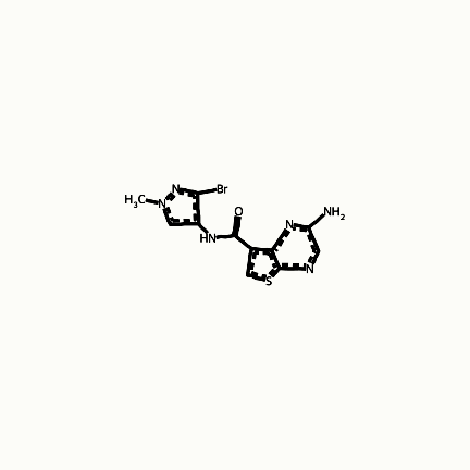 Cn1cc(NC(=O)c2csc3ncc(N)nc23)c(Br)n1